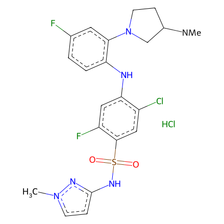 CNC1CCN(c2cc(F)ccc2Nc2cc(F)c(S(=O)(=O)Nc3ccn(C)n3)cc2Cl)C1.Cl